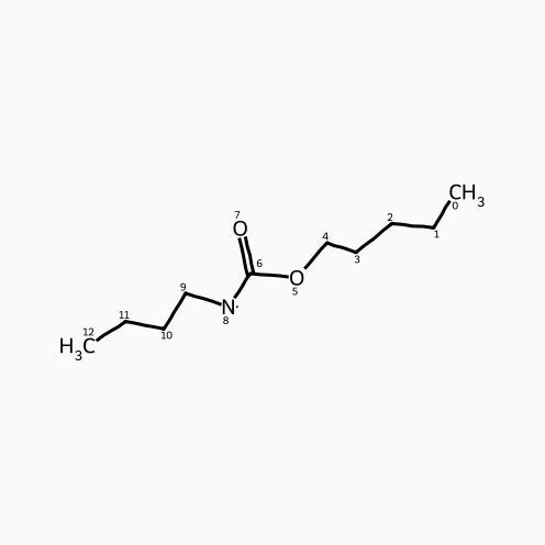 CCCCCOC(=O)[N]CCCC